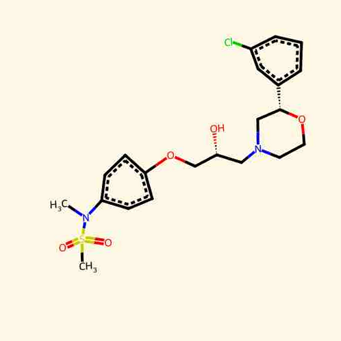 CN(c1ccc(OC[C@H](O)CN2CCO[C@@H](c3cccc(Cl)c3)C2)cc1)S(C)(=O)=O